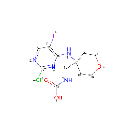 O=C(O)NCC1(Nc2nc(Cl)ncc2I)CCOCC1